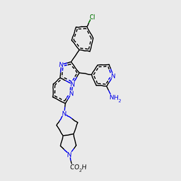 Nc1cc(-c2c(-c3ccc(Cl)cc3)nc3ccc(N4CC5CN(C(=O)O)CC5C4)nn23)ccn1